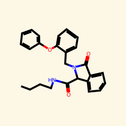 CCCCNC(=O)C1c2ccccc2C(=O)N1Cc1ccccc1Oc1ccccc1